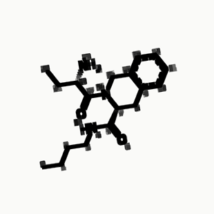 CCCCNC(=O)[C@@H]1Cc2ccccc2CN1C(=O)[C@@H](N)CC